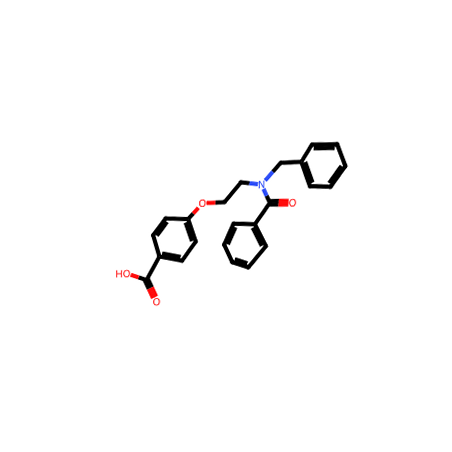 O=C(O)c1ccc(OCCN(Cc2ccccc2)C(=O)c2ccccc2)cc1